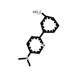 CN(C)c1ccc(-c2cccc(C(=O)O)c2)nc1